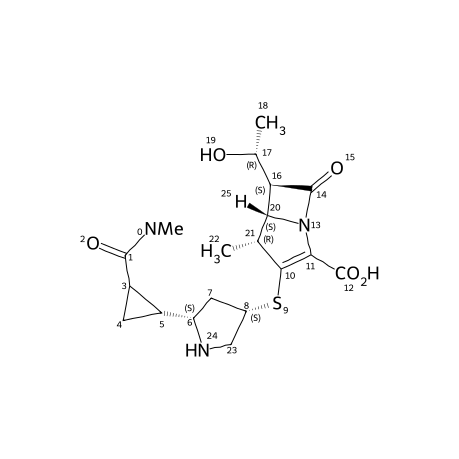 CNC(=O)C1CC1[C@@H]1C[C@H](SC2=C(C(=O)O)N3C(=O)[C@H]([C@@H](C)O)[C@H]3[C@H]2C)CN1